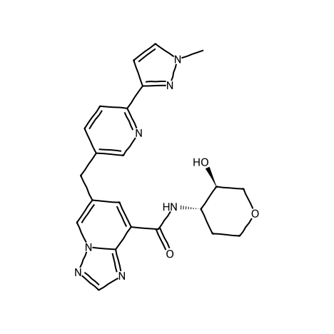 Cn1ccc(-c2ccc(Cc3cc(C(=O)N[C@H]4CCOC[C@@H]4O)c4ncnn4c3)cn2)n1